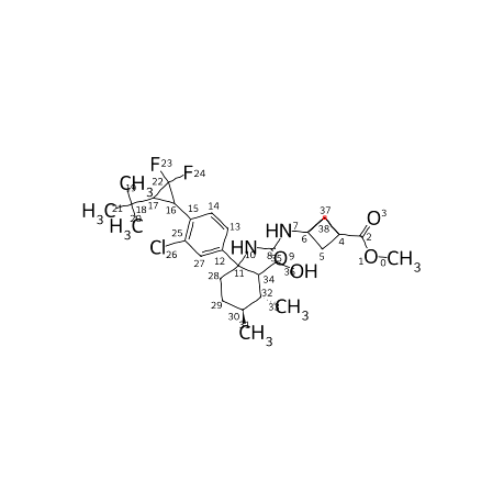 COC(=O)C12CC(NC(=O)NC3(c4ccc(C5C(C(C)(C)C)C5(F)F)c(Cl)c4)CC[C@H](C)[C@@H](C)C3CO)(C1)C2